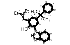 CCN(CC)Cc1cc(C(C)(C)c2ccccc2)cc(-n2nnc3ccccc32)c1O